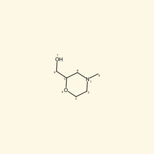 CN1CCOC(CO)C1